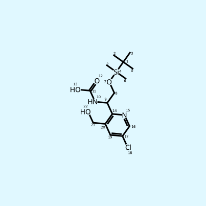 CC(C)(C)[Si](C)(C)OCC(NC(=O)O)c1ncc(Cl)cc1CO